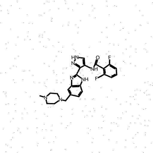 CN1CCN(Cc2ccc3[nH]c(-c4n[nH]cc4NC(=O)c4c(F)cccc4F)nc3c2)CC1